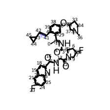 C[C@H](NC(=O)[C@@H]1C[C@@H](F)CN1C(=O)CNC(=O)c1ccc2cc(F)ccc2n1)c1cc(O[C@@H]2CCN(C)C2)ccc1/C=C/C1CC1